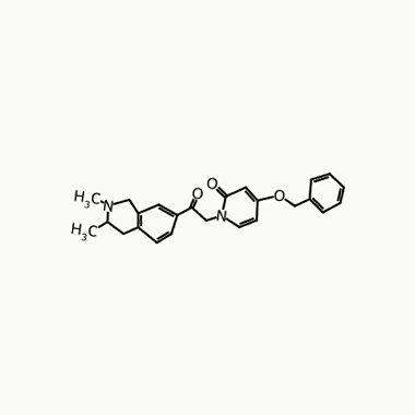 CC1Cc2ccc(C(=O)Cn3ccc(OCc4ccccc4)cc3=O)cc2CN1C